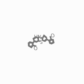 O=Cc1ccccc1C1=CC2SC3C=C(c4ccccc4C=O)C=CC3NC2C=C1